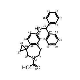 O=C(O)N1CCc2cc(NC(c3ccccc3)c3ccccc3)ccc2C2(CC2)C1